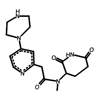 CN(C(=O)Cc1cc(N2CCNCC2)ccn1)C1CCC(=O)NC1=O